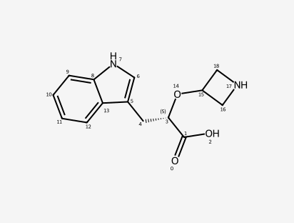 O=C(O)[C@H](Cc1c[nH]c2ccccc12)OC1CNC1